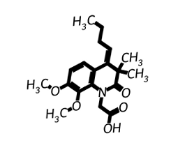 CCC/C=C1\c2ccc(OC)c(OC)c2N(CC(=O)O)C(=O)C1(C)C